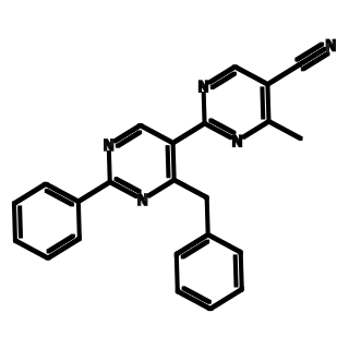 Cc1nc(-c2cnc(-c3ccccc3)nc2Cc2ccccc2)ncc1C#N